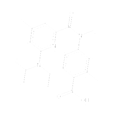 CCN(c1cc(C)cc(C(=O)N(C)c2ccc(C(=O)O)c(C)c2)n1)C(C)C